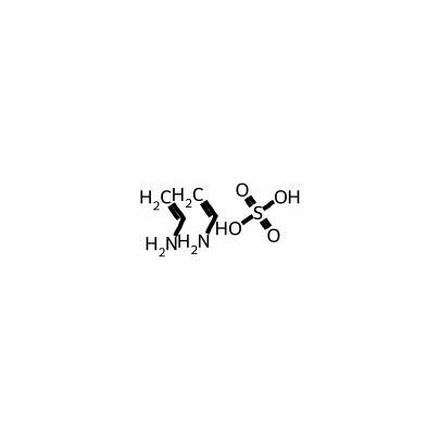 C=CN.C=CN.O=S(=O)(O)O